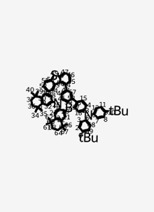 CC(C)(C)c1ccc(N(c2ccc(C(C)(C)C)cc2)c2ccc3c(c2)B2c4cc5c(cc4N(c4ccc6c(c4)C(C)(C)CCC6(C)C)c4cc(-c6cccc7sc8ccccc8c67)cc-3c42)C(C)(C)CCC5(C)C)cc1